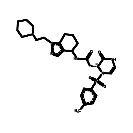 Cc1ccc(S(=O)(=O)N2C=CNC(=O)[C@H]2CC(=O)NC2CCCc3c2cnn3CCN2CCCCC2)cc1